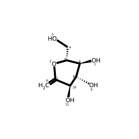 C=C1O[C@H](CO)[C@@H](O)[C@H](O)[C@H]1O